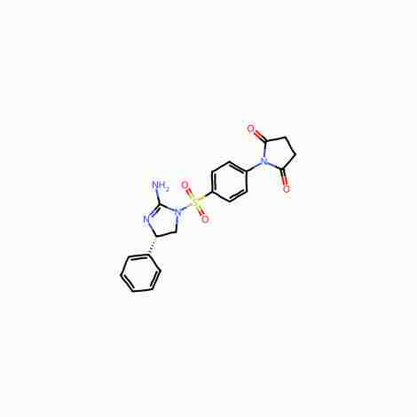 NC1=N[C@@H](c2ccccc2)CN1S(=O)(=O)c1ccc(N2C(=O)CCC2=O)cc1